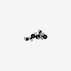 COC(C)(C)CNC(=O)c1ccc(Cl)c(-c2cnc(N(C)C(=O)c3c(F)cccc3Cl)c(OCC(C)(F)F)c2)c1